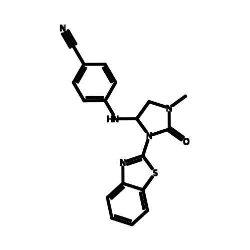 CN1CC(Nc2ccc(C#N)cc2)N(c2nc3ccccc3s2)C1=O